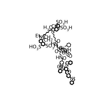 CC[N+]1=C(/C=C/C=C/C=C2\N(CCCCCC(=O)NCCNC(=O)[C@H](CCNC(=O)C3CCN(S(=O)(=O)c4ccccc4-c4cc(N5CCc6ccccc65)cc5oc6c/c(=[N+]7\CCc8ccccc87)ccc-6cc45)CC3)NC(=O)[C@H](CC3CCCCC3)NC(=O)N3CCOCC3)c3ccc4c(S(=O)(=O)O)cc(S(=O)(=O)O)cc4c3C2(C)C)C(C)(C)c2c1ccc1c(S(=O)(=O)O)cc(S(=O)(=O)O)cc21